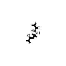 CC(C)C(=O)CC(C)(C)NNC(=O)C(C)C